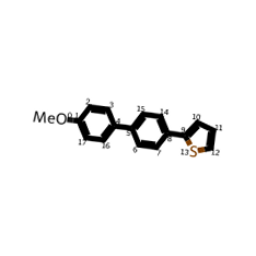 COc1ccc(-c2ccc(-c3cccs3)cc2)cc1